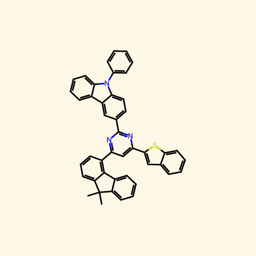 CC1(C)c2ccccc2-c2c(-c3cc(-c4cc5ccccc5s4)nc(-c4ccc5c(c4)c4ccccc4n5-c4ccccc4)n3)cccc21